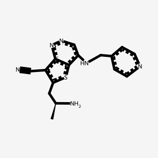 C[C@H](N)Cc1sc2c(NCc3ccncc3)cnnc2c1C#N